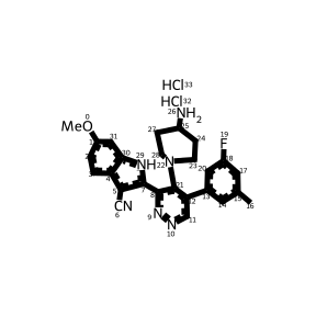 COc1ccc2c(C#N)c(-c3nncc(-c4cc(C)cc(F)c4)c3N3CCC(N)CC3)[nH]c2c1.Cl.Cl